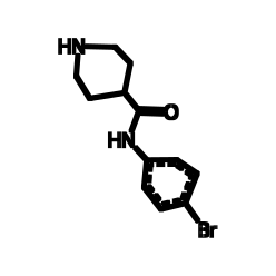 O=C(Nc1ccc(Br)cc1)C1CCNCC1